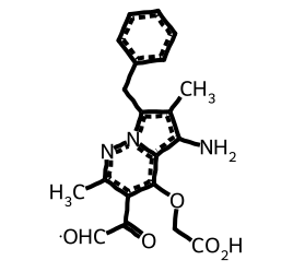 Cc1nn2c(Cc3ccccc3)c(C)c(N)c2c(OCC(=O)O)c1C(=O)[C]=O